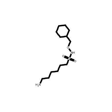 NCCCCCCS(=O)(=O)NOCC1CCCCC1